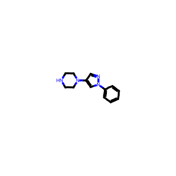 c1ccc(-n2cc(N3CCNCC3)cn2)cc1